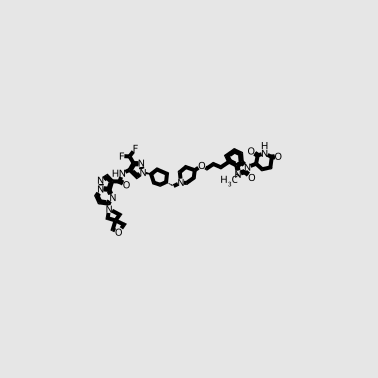 Cn1c(=O)n(C2CCC(=O)NC2=O)c2cccc(CCCOC3CCN(C[C@H]4CC[C@H](n5cc(NC(=O)c6cnn7ccc(N8CC9(COC9)C8)nc67)c(C(F)F)n5)CC4)CC3)c21